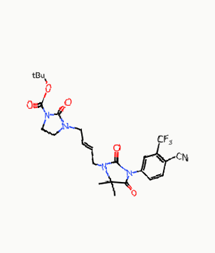 CC(C)(C)OC(=O)N1CCN(C/C=C/CN2C(=O)N(c3ccc(C#N)c(C(F)(F)F)c3)C(=O)C2(C)C)C1=O